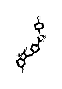 O=C1Nc2ccc(F)cc2C1=Cc1ccc(-c2cn(-c3ccc(Cl)cc3)nn2)cc1